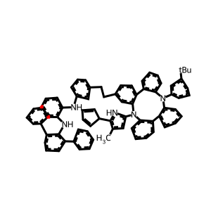 Cc1cc(N2c3ccccc3-c3ccccc3N(c3cccc(C(C)(C)C)c3)c3ccccc3-c3ccc(CCc4cccc(Nc5ccccc5Nc5c(-c6ccccc6)cccc5-c5ccccc5)c4)cc32)[nH]c1C1C=CC=C1